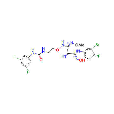 CO/N=C(/NOCCNC(=O)Nc1cc(F)cc(F)c1)C(=N)/C(=N/O)Nc1ccc(F)c(Br)c1